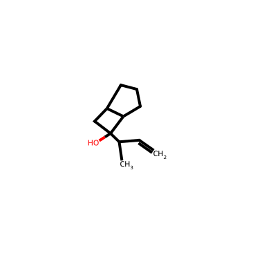 C=CC(C)C1(O)CC2CCCC21